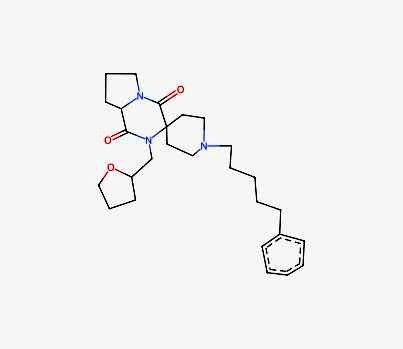 O=C1C2CCCN2C(=O)C2(CCN(CCCCCc3ccccc3)CC2)N1CC1CCCO1